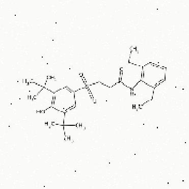 CCc1cccc(CC)c1NC(=O)CCS(=O)(=O)c1cc(C(C)(C)C)c(O)c(C(C)(C)C)c1